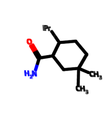 CC(C)C1CCC(C)(C)CC1C(N)=O